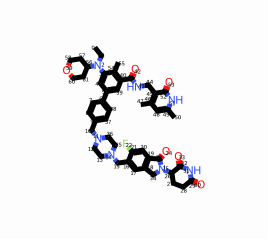 CCN(c1cc(-c2ccc(CN3CCN(Cc4cc5c(cc4F)C(=O)N(C4CCC(=O)NC4=O)C5)CC3)cc2)cc(C(=O)NCc2c(C)cc(C)[nH]c2=O)c1C)C1CCOCC1